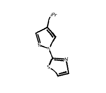 CC(C)c1cnn(-c2nc[c]s2)c1